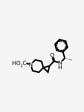 C[C@H](NC(=O)C1CC12CCN(C(=O)O)CC2)c1ccccc1